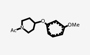 [CH2]C(=O)N1CCC(Oc2cccc(OC)c2)CC1